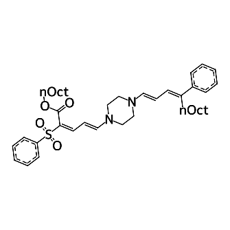 CCCCCCCCOC(=O)/C(=C\C=C\N1CCN(/C=C/C=C(\CCCCCCCC)c2ccccc2)CC1)S(=O)(=O)c1ccccc1